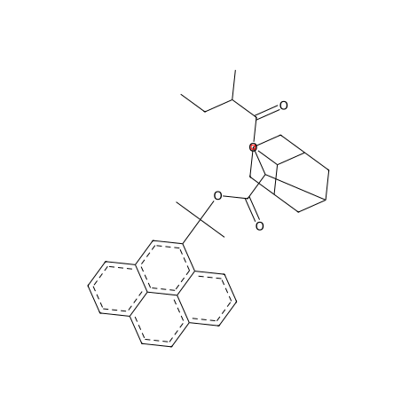 CCC(C)C(=O)OC1C2CC3CC1CC(C2)C3C(=O)OC(C)(C)c1cc2cccc3ccc4cccc1c4c32